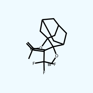 C=C(C)OC12CC3CC(CC(C3)C1(OBr)C(=O)C(F)(F)F)C2